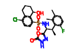 Cc1ccc(F)c([C@@H](C)[C@H](NS(=O)(=O)c2ccc(Cl)c3c2C(O)CCC3)c2n[nH]c(=O)o2)c1C